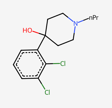 CCCN1CCC(O)(c2cccc(Cl)c2Cl)CC1